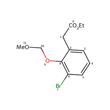 CCOC(=O)Cc1cccc(Br)c1OCOC